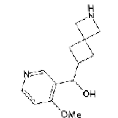 COc1ccncc1C(O)C1CC2(CNC2)C1